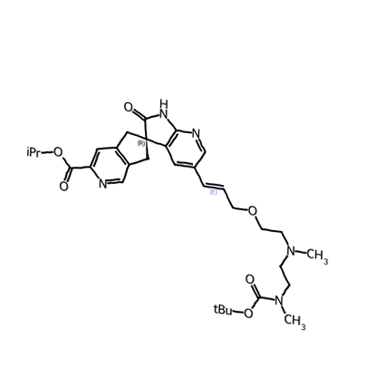 CC(C)OC(=O)c1cc2c(cn1)C[C@@]1(C2)C(=O)Nc2ncc(/C=C/COCCN(C)CCN(C)C(=O)OC(C)(C)C)cc21